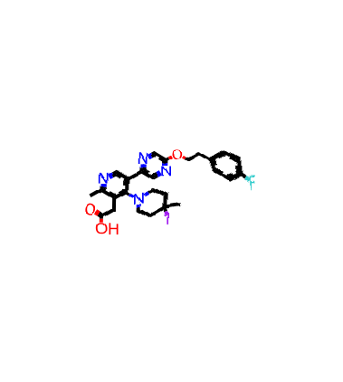 Cc1ncc(-c2cnc(OCCc3ccc(F)cc3)cn2)c(N2CCC(C)(I)CC2)c1CC(=O)O